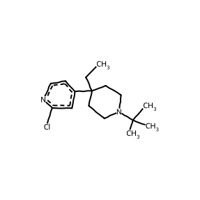 CCC1(c2ccnc(Cl)c2)CCN(C(C)(C)C)CC1